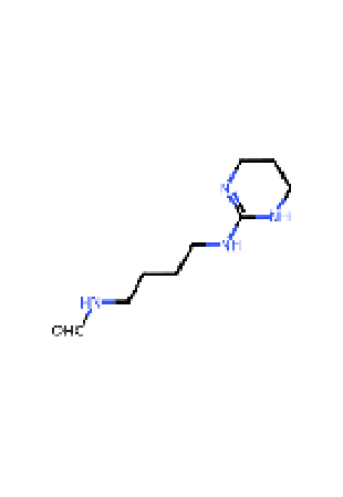 O=CNCCCCNC1=NCCCN1